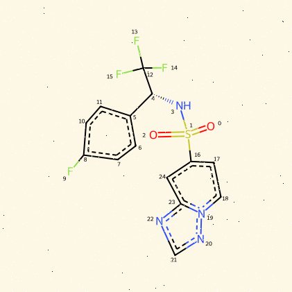 O=S(=O)(N[C@H](c1ccc(F)cc1)C(F)(F)F)c1ccn2ncnc2c1